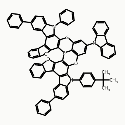 CC(C)(C)c1ccc(-n2c3ccc(-c4ccccc4)cc3c3c4c(oc5ccccc54)c4c(c32)Oc2cc(-n3c5ccccc5c5ccccc53)cc3c2B4c2c(c4c(c5cc(-c6ccccc6)ccc5n4-c4ccccc4)c4c2oc2ccccc24)S3)cc1